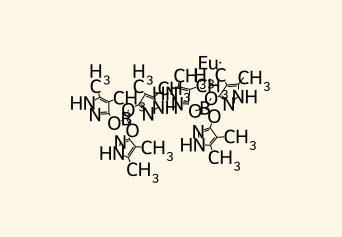 Cc1[nH]nc(OB(Oc2n[nH]c(C)c2C)Oc2n[nH]c(C)c2C)c1C.Cc1[nH]nc(OB(Oc2n[nH]c(C)c2C)Oc2n[nH]c(C)c2C)c1C.[Eu]